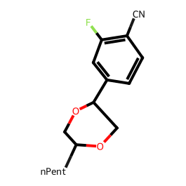 CCCCCC1COC(c2ccc(C#N)c(F)c2)CO1